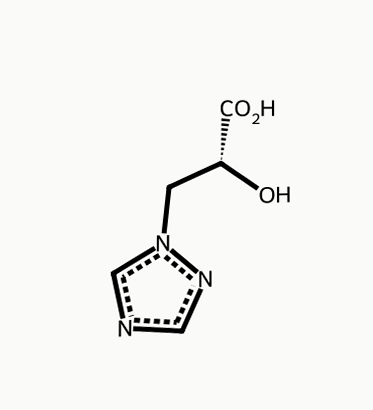 O=C(O)[C@H](O)Cn1cncn1